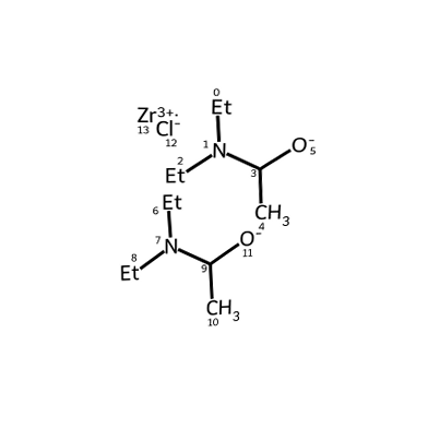 CCN(CC)C(C)[O-].CCN(CC)C(C)[O-].[Cl-].[Zr+3]